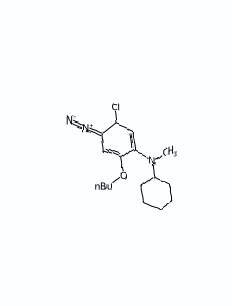 CCCCOC1=CC(=[N+]=[N-])C(Cl)C=C1N(C)C1CCCCC1